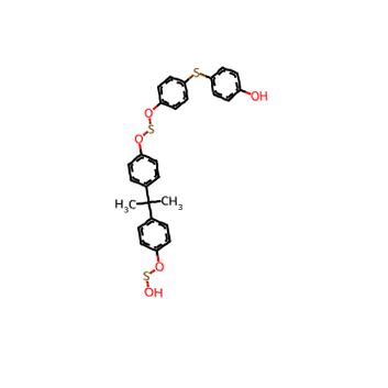 CC(C)(c1ccc(OSO)cc1)c1ccc(OSOc2ccc(Sc3ccc(O)cc3)cc2)cc1